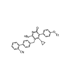 CCCCc1nc(=O)c(-c2ccc(OCC)cc2)c(C2CC2)n1Cc1ccc(-c2ccccc2C#N)cc1